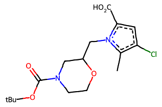 Cc1c(Cl)cc(C(=O)O)n1CC1CN(C(=O)OC(C)(C)C)CCO1